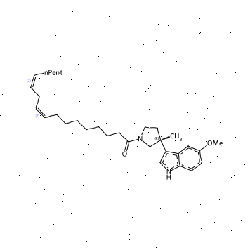 CCCCC/C=C\C/C=C\CCCCCCCC(=O)N1CC[C@](C)(c2c[nH]c3ccc(OC)cc23)C1